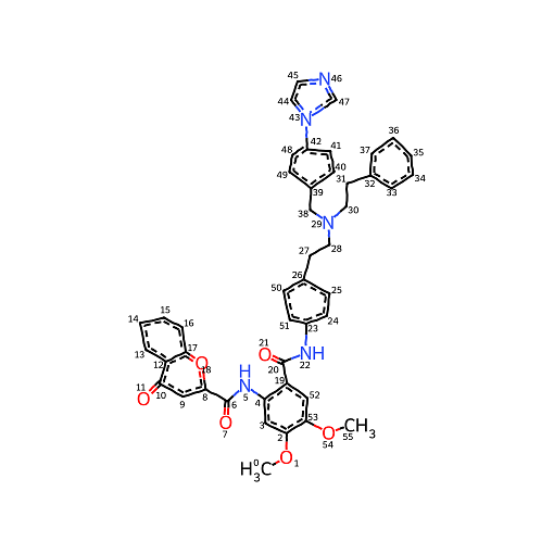 COc1cc(NC(=O)c2cc(=O)c3ccccc3o2)c(C(=O)Nc2ccc(CCN(CCc3ccccc3)Cc3ccc(-n4ccnc4)cc3)cc2)cc1OC